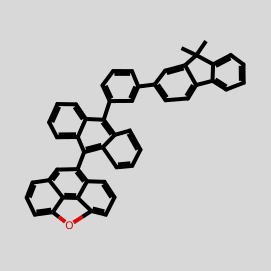 CC1(C)c2ccccc2-c2ccc(-c3cccc(-c4c5ccccc5c(-c5cc6cccc7oc8cccc5c8c67)c5ccccc45)c3)cc21